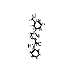 O=C(Nc1ccccc1)c1ncn(-c2cccc(CCl)c2)n1